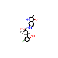 Cc1c[nH]c2cc(NCC(O)(CC(C)(C)c3cc(F)ccc3O)C(F)(F)F)ccc2c1=O